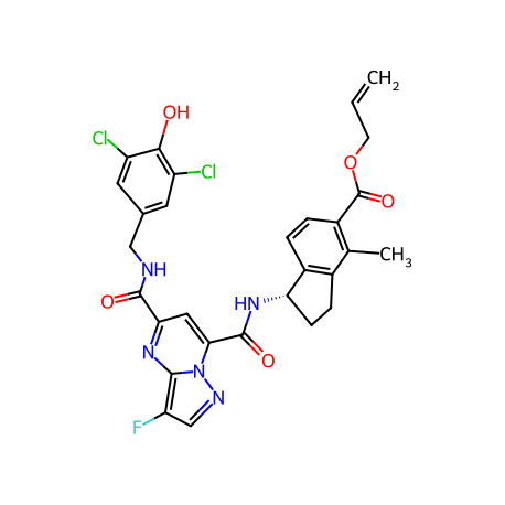 C=CCOC(=O)c1ccc2c(c1C)CC[C@@H]2NC(=O)c1cc(C(=O)NCc2cc(Cl)c(O)c(Cl)c2)nc2c(F)cnn12